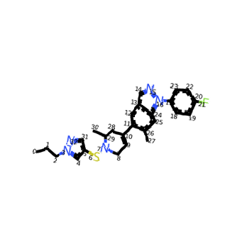 CCCn1cc(SN2CC=C(c3cc4cnn(-c5ccc(F)cc5)c4cc3C)CC2C)cn1